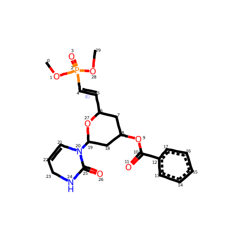 COP(=O)(/C=C/C1CC(OC(=O)c2ccccc2)CC(N2C=CCNC2=O)O1)OC